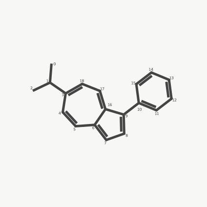 CC(C)c1ccc2ccc(-c3ccccc3)c-2cc1